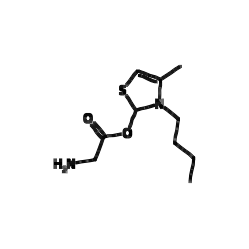 CCCCN1C(C)=CSC1OC(=O)CN